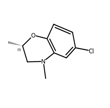 C[C@H]1CN(C)c2cc(Cl)ccc2O1